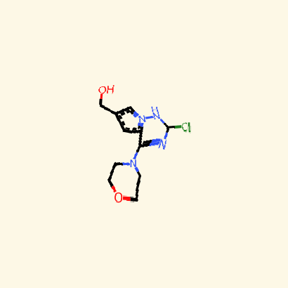 OCc1cc2n(c1)NC(Cl)N=C2N1CCOCC1